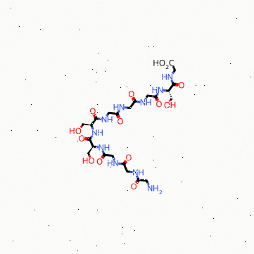 NCC(=O)NCC(=O)NCC(=O)N[C@@H](CO)C(=O)N[C@@H](CO)C(=O)NCC(=O)NCC(=O)NCC(=O)N[C@@H](CO)C(=O)NCC(=O)O